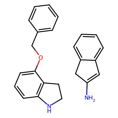 NC1=Cc2ccccc2C1.c1ccc(COc2cccc3c2CCN3)cc1